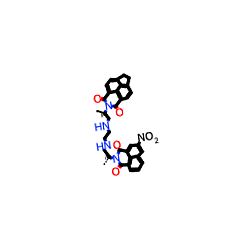 C[C@H](CNCCNC[C@@H](C)N1C(=O)c2ccc3c4c(ccc(c24)C1=O)CC3)N1C(=O)c2cccc3cc([N+](=O)[O-])cc(c23)C1=O